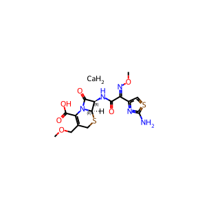 COCC1=C(C(=O)O)N2C(=O)[C@@H](NC(=O)C(=NOC)c3csc(N)n3)[C@H]2SC1.[CaH2]